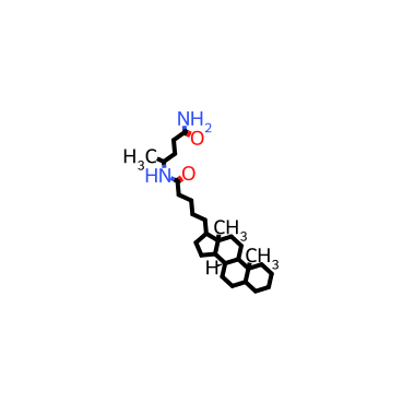 CC(CCC(N)=O)NC(=O)CCCCC1CCC2[C@@H]3CCC4CCCCC4(C)C3CCC12C